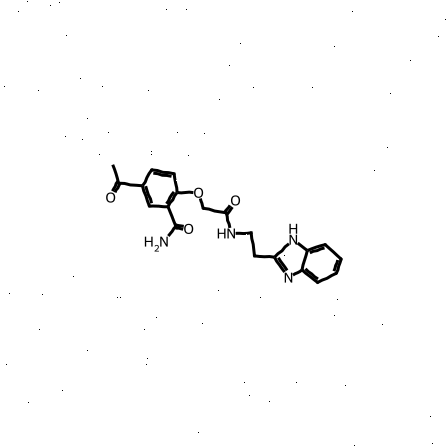 CC(=O)c1ccc(OCC(=O)NCCc2nc3ccccc3[nH]2)c(C(N)=O)c1